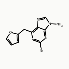 Nn1cnc2c(Cc3ccco3)nc(Br)nc21